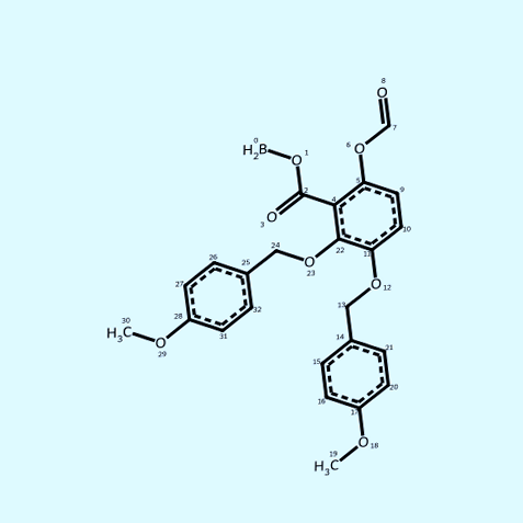 BOC(=O)c1c(OC=O)ccc(OCc2ccc(OC)cc2)c1OCc1ccc(OC)cc1